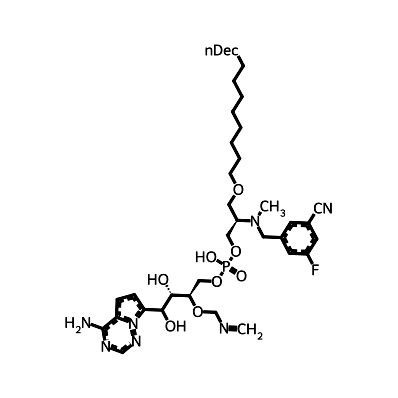 C=NCO[C@H](COP(=O)(O)OC[C@@H](COCCCCCCCCCCCCCCCCCC)N(C)Cc1cc(F)cc(C#N)c1)[C@@H](O)C(O)c1ccc2c(N)ncnn12